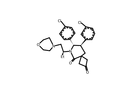 CC[C@@H](CN1CCOCC1)N1C(=O)C2(CC(=O)C2)C[C@H](c2cccc(Cl)c2)[C@H]1c1ccc(Cl)cc1